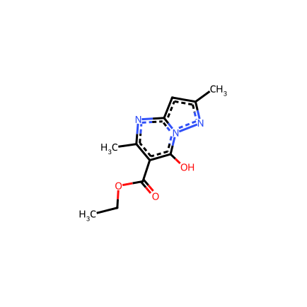 CCOC(=O)c1c(C)nc2cc(C)nn2c1O